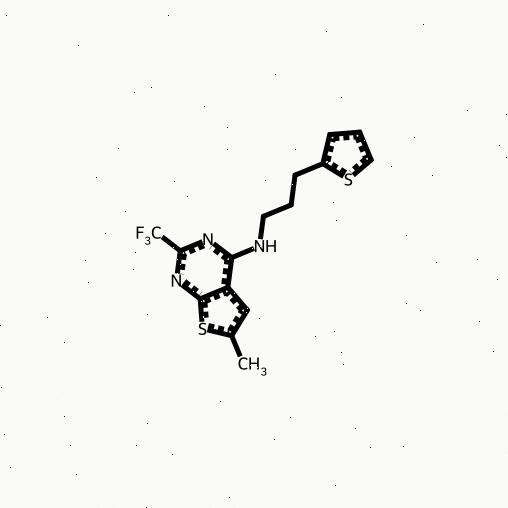 Cc1cc2c(NCCCc3cccs3)nc(C(F)(F)F)nc2s1